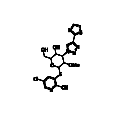 COC1C(Sc2cc(Cl)cnc2C#N)OC(CO)C(O)C1n1cc(-c2nccs2)nn1